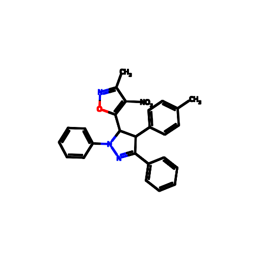 Cc1ccc(C2C(c3ccccc3)=NN(c3ccccc3)C2c2onc(C)c2[N+](=O)[O-])cc1